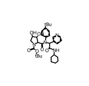 CC(C)(C)OC(=O)N1CC(O)C(O)C1C(=O)N(c1ccc(C(C)(C)C)cc1)C(C(=O)NC1CCCCC1)c1cccnc1